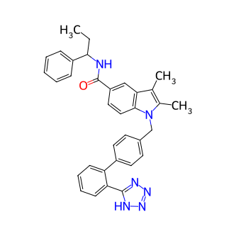 CCC(NC(=O)c1ccc2c(c1)c(C)c(C)n2Cc1ccc(-c2ccccc2-c2nnn[nH]2)cc1)c1ccccc1